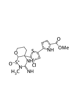 COC(=O)c1ccc(-c2cc(Cl)c(C34CCCOC3[S+]([O-])N(C)C(=N)N4)s2)[nH]1